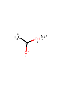 CC([O-])O.[Na+]